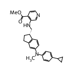 COC(=O)c1ccncc1NC[C@H]1CCc2cc(N(C)c3ccc(C4CC4)cc3)ccc21